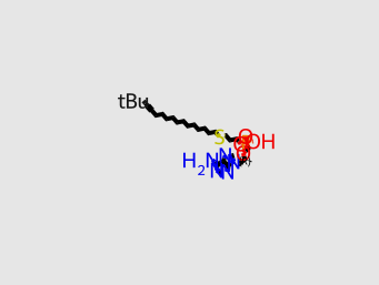 C[C@H](Cn1cnc2c(N)ncnc21)OCP(=O)(O)OCCCSCCCCCCCCCCCCC#CC(C)(C)C